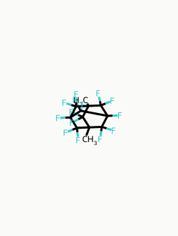 CC12C(F)(F)C3(C)C(F)(F)C(F)(C1(F)F)C(F)(F)C(F)(C2(F)F)C3(F)F